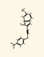 CN(C)c1ccc(CC#Cc2cc3ccc(Br)nc3n2C)cc1